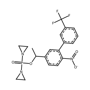 CC(OP(=O)(N1CC1)N1CC1)c1ccc([N+](=O)[O-])c(-c2cccc(C(F)(F)F)c2)c1